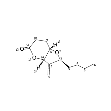 C=C1[C@H](CCCC)O[C@H]2CCC(=O)O[C@@H]12